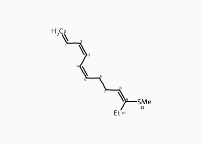 C=C/C=C\C=C/CC/C=C(\CC)SC